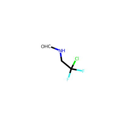 O=CNCC(F)(F)Cl